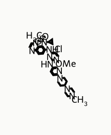 COc1nc(N2CCC(N3CCN(C)CC3)CC2)ccc1Nc1ncc(Cl)c(Nc2ccc3nccnc3c2N(C2CC2)S(C)(=O)=O)n1